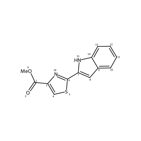 COC(=O)c1csc(-c2cc3ccccc3[nH]2)n1